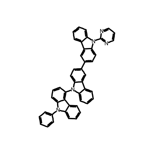 c1ccc(-n2c3ccccc3c3c(-n4c5ccccc5c5cc(-c6ccc7c(c6)c6ccccc6n7-c6ncccn6)ccc54)cccc32)cc1